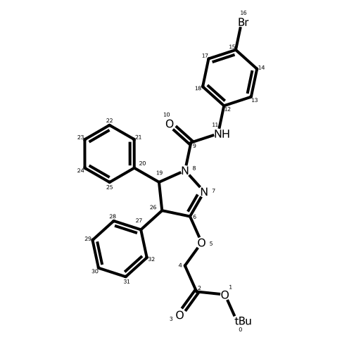 CC(C)(C)OC(=O)COC1=NN(C(=O)Nc2ccc(Br)cc2)C(c2ccccc2)C1c1ccccc1